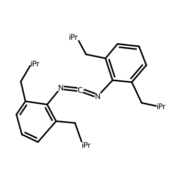 CC(C)Cc1cccc(CC(C)C)c1N=C=Nc1c(CC(C)C)cccc1CC(C)C